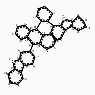 c1ccc(-c2cccc3c2oc2ccccc23)c(-c2c3ccccc3c(-c3ccc4c(c3)oc3ccccc34)c3ccccc23)c1